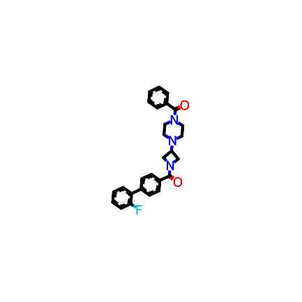 O=C(c1ccccc1)N1CCN(C2CN(C(=O)c3ccc(-c4ccccc4F)cc3)C2)CC1